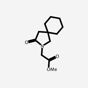 COC(=O)CN1CC2(CCCCC2)CC1=O